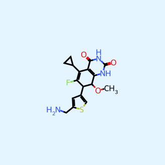 COC1c2[nH]c(=O)[nH]c(=O)c2C(C2CC2)=C(F)C1c1csc(CN)c1